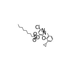 CCCCCCCCS(=O)(=O)Oc1cc(Cl)nnc1Oc1c(C)cccc1C1CC1